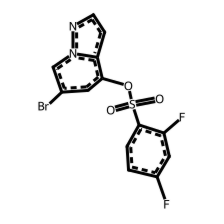 O=S(=O)(Oc1cc(Br)cn2nccc12)c1ccc(F)cc1F